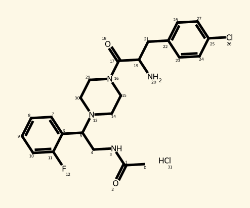 CC(=O)NCC(c1ccccc1F)N1CCN(C(=O)C(N)Cc2ccc(Cl)cc2)CC1.Cl